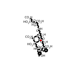 Cc1cc(C[C@@H](NC(=O)CC[C@H](C(=O)O)N2CCN(CC(=O)O)CCN(CC(=O)O)CCN(CC(=O)O)CC2)C(=O)N[C@H](Cc2ccccc2)C(=O)N[C@H](CCCCNC(=O)CCCCCCC(=O)NCCCC[C@H](NC(=O)N[C@@H](CCC(=O)O)C(=O)O)C(=O)O)C(=O)O)ccc1O